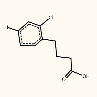 O=C(O)CCCc1ccc(I)cc1Cl